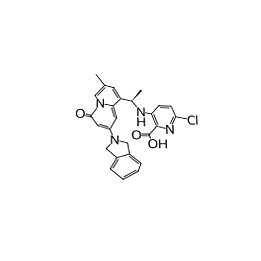 Cc1cc([C@@H](C)Nc2ccc(Cl)nc2C(=O)O)c2cc(N3Cc4ccccc4C3)cc(=O)n2c1